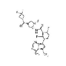 Nc1ncnn2c(-c3ccc(F)c(C(=O)N[C@@H]4CN(C(=O)C5CC(F)(F)C5)C[C@@H]4F)c3F)cc(C(F)(F)F)c12